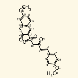 COc1ccc(/C=C/C(=O)CS(=O)(=O)c2cc3ccc(OC)cc3sc2=O)cc1